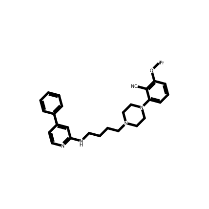 CC(C)Oc1cccc(N2CCN(CCCCNc3cc(-c4ccccc4)ccn3)CC2)c1C#N